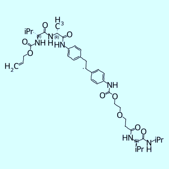 C=CCOC(=O)N[C@@H](C(=O)N[C@H](C)C(=O)Nc1ccc(C[CH]c2ccc(NC(=O)OCCOCCC(=O)N[C@@H](C(=O)NC(C)C)C(C)C)cc2)cc1)C(C)C